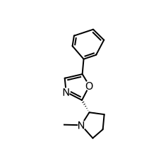 CN1CCC[C@H]1c1ncc(-c2ccccc2)o1